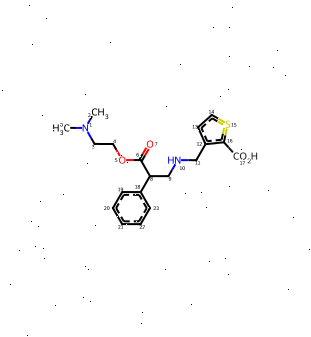 CN(C)CCOC(=O)C(CNCc1ccsc1C(=O)O)c1ccccc1